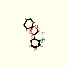 [CH2][C@H]1OC2(CCCCC2)O[C@@H]1c1ccccc1F